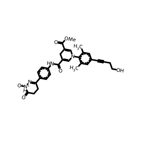 COC(=O)C1=CN(c2c(C)cc(C#CCCO)cc2C)C=C(C(=O)Nc2ccc(C3=N[NH+]([O-])C(=O)CC3)cc2)C1